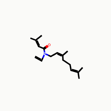 C=CN(C/C=C(/C)CCC=C(C)C)C(=O)C=C(C)C